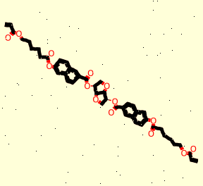 C=CC(=O)OCCCCCC(=O)Oc1ccc2cc(C(=O)O[C@@H]3COC4C3OC[C@H]4OC(=O)c3ccc4cc(OC(=O)CCCCCOC(=O)C=C)ccc4c3)ccc2c1